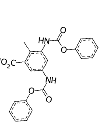 Cc1c(NC(=O)Oc2ccccc2)cc(NC(=O)Oc2ccccc2)cc1C(=O)O